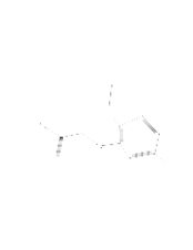 COc1ccc(C)cc1NCC(N)=O